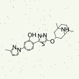 Cc1ccn(-c2ccc(-c3nnc(OC4CC5NC(C)(CCC5C)C4)s3)c(O)c2)n1